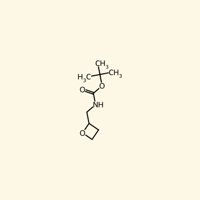 CC(C)(C)OC(=O)NCC1CCO1